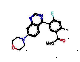 COC(=O)c1cc(-c2ncnc3cc(N4CCOCC4)ccc23)c(F)cc1C